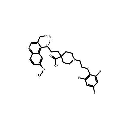 COc1ccc2ncc(CN)c([C@H](F)CCC3(C(=O)O)CCN(CCSc4c(F)cc(F)cc4F)CC3)c2c1